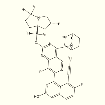 [2H]C#Cc1c(F)ccc2cc(O)cc(-c3ncc4c(N5CC6CCC5CN6)nc(OC([2H])([2H])[C@@]56CCC([2H])([2H])N5C[C@H](F)C6)nc4c3F)c12